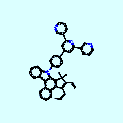 C=CC1=C(/C=C\C)c2c(c3c(c4ccccc24)c2ccccc2n3-c2ccc(-c3cc(-c4cccnc4)nc(-c4cccnc4)c3)cc2)C1(C)C